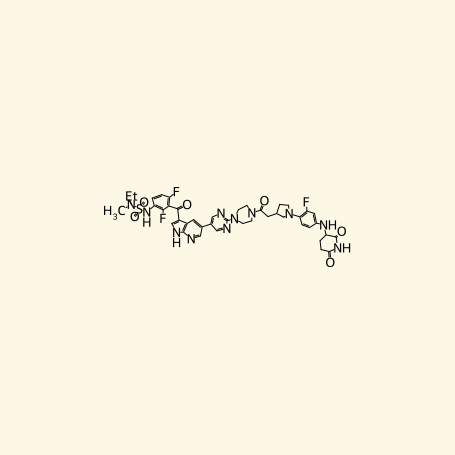 CCN(C)S(=O)(=O)Nc1ccc(F)c(C(=O)c2c[nH]c3ncc(-c4cnc(N5CCN(C(=O)CC6CCN(c7ccc(NC8CCC(=O)NC8=O)cc7F)C6)CC5)nc4)cc23)c1F